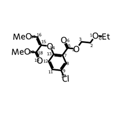 CCOCCOC(=O)c1cc(Cl)ccc1O/C(=C/OC)C(=O)OC